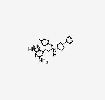 Cc1ccc(F)c(C(CCN[C@H]2CC[C@H](c3ccccc3)CC2)c2cc(N)nc3[nH]nnc23)c1